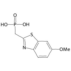 COc1ccc2nc(CP(=O)(O)O)sc2c1